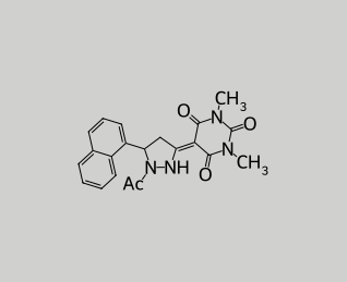 CC(=O)N1NC(=C2C(=O)N(C)C(=O)N(C)C2=O)CC1c1cccc2ccccc12